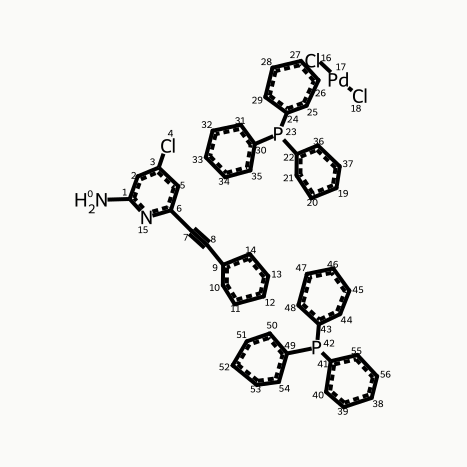 Nc1cc(Cl)cc(C#Cc2ccccc2)n1.[Cl][Pd][Cl].c1ccc(P(c2ccccc2)c2ccccc2)cc1.c1ccc(P(c2ccccc2)c2ccccc2)cc1